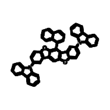 c1ccc2c(-c3c4oc5ccc(-n6c7ccccc7c7ccccc76)cc5c4cc4oc5ccc(-n6c7ccccc7c7ccccc76)cc5c34)cccc2c1